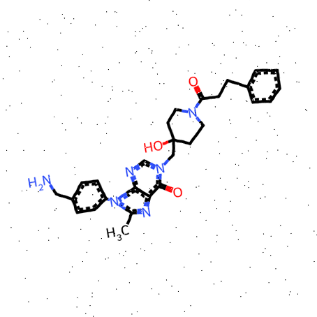 Cc1nc2c(=O)n(CC3(O)CCN(C(=O)CCc4ccccc4)CC3)cnc2n1-c1ccc(CN)cc1